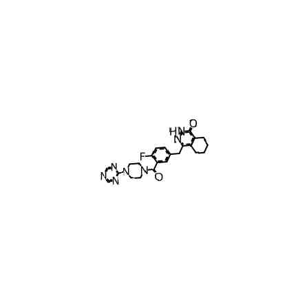 O=C(c1cc(Cc2n[nH]c(=O)c3c2CCCC3)ccc1F)N1CCN(c2ncncn2)CC1